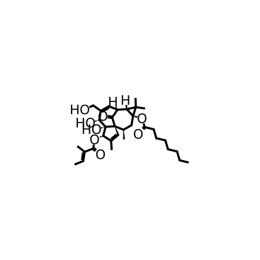 C/C=C(\C)C(=O)O[C@H]1C(C)=C[C@]23C(=O)[C@@H](C=C(CO)[C@@H](O)[C@]12O)[C@@H]1C(C)(C)[C@]1(OC(=O)CCCCCCC)C[C@H]3C